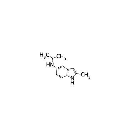 Cc1cc2cc(NC(C)C)ccc2[nH]1